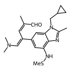 CSNc1cc(C(/C=C(/C)C=O)=C/N(C)C)cc2c1nc(C)n2CC1CC1